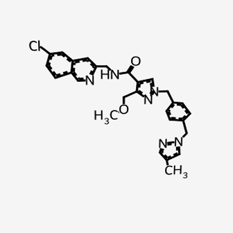 COCc1nn(Cc2ccc(Cn3cc(C)cn3)cc2)cc1C(=O)NCc1cc2cc(Cl)ccc2cn1